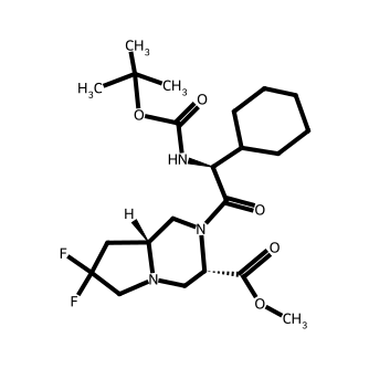 COC(=O)[C@@H]1CN2CC(F)(F)C[C@@H]2CN1C(=O)[C@@H](NC(=O)OC(C)(C)C)C1CCCCC1